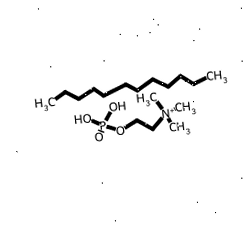 CCCCCCCCCCCC.C[N+](C)(C)CCOP(=O)(O)O